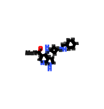 CNC(=O)c1cnc2[nH]ccc2c1NC1CC(NCc2ccccc2)C1